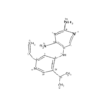 C=Cc1cc(Nc2cnc(N)nc2N)c(C(C)C)cn1